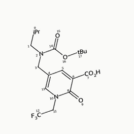 CC(C)CN(Cc1cc(C(=O)O)c(=O)n(CC(F)(F)F)c1)C(=O)OC(C)(C)C